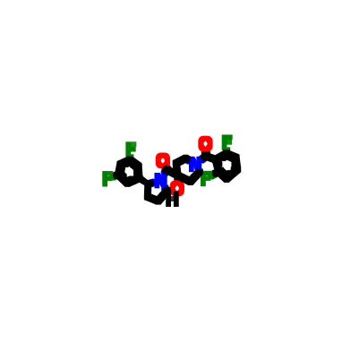 O=C(c1c(F)cccc1F)N1CCC2(CC1)O[C@@H]1CC[C@@H](c3cc(F)cc(F)c3)N1C2=O